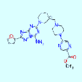 COC(=O)c1cnc(N2CCN(C[C@@H]3CCCN(c4nc(N)n5nc(-c6ccco6)nc5n4)C3)CC2)cn1